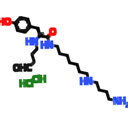 Cl.Cl.NCCCCNCCCCCCCNC(=O)[C@H](Cc1ccc(O)cc1)NCCCC=O